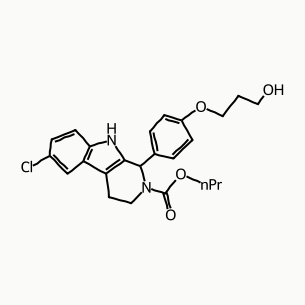 CCCOC(=O)N1CCc2c([nH]c3ccc(Cl)cc23)C1c1ccc(OCCCO)cc1